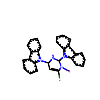 ClC1=CC(n2c3ccccc3c3ccccc32)NC(n2c3ccccc3c3ccccc32)N1I